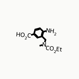 CCOC(=O)N(C)Cc1cc(C(=O)O)ccc1N